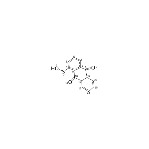 O=C1c2cccc(SO)c2C(=O)C2C=CC=CC12